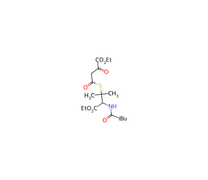 CCOC(=O)C(=O)CC(=O)SC(C)(C)C(NC(=O)C(C)CC)C(=O)OCC